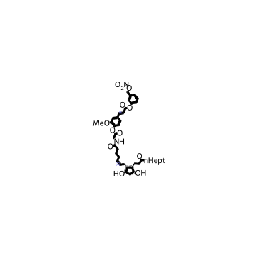 CCCCCCCC(=O)CC[C@@H]1[C@@H](C/C=C\CCCC(=O)NCC(=O)Oc2ccc(/C=C/C(=O)Oc3cccc(CO[N+](=O)[O-])c3)cc2OC)[C@@H](O)C[C@H]1O